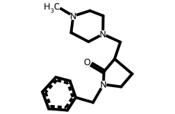 CN1CCN(CC2CCN(Cc3ccccc3)C2=O)CC1